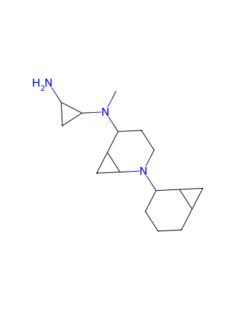 CN(C1CC1N)C1CCN(C2CCCC3CC32)C2CC12